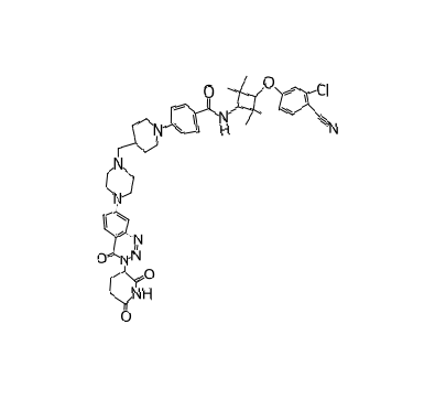 CC1(C)C(NC(=O)c2ccc(N3CCC(CN4CCN(c5ccc6c(=O)n(C7CCC(=O)NC7=O)nnc6c5)CC4)CC3)cc2)C(C)(C)C1Oc1ccc(C#N)c(Cl)c1